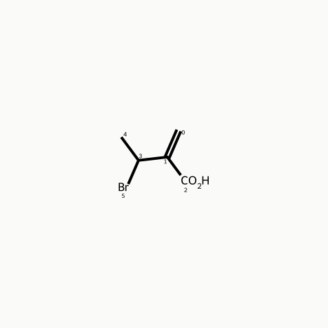 C=C(C(=O)O)C(C)Br